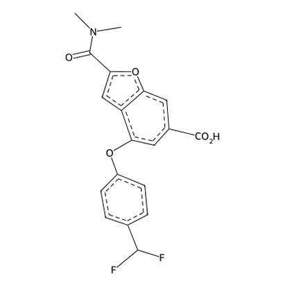 CN(C)C(=O)c1cc2c(Oc3ccc(C(F)F)cc3)cc(C(=O)O)cc2o1